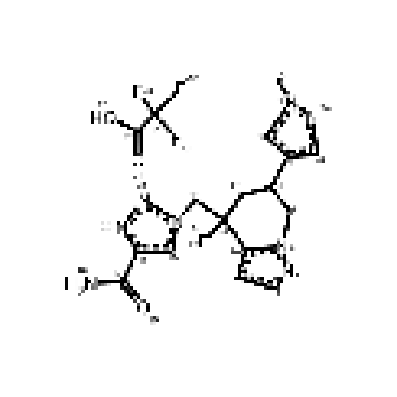 Cn1cc(C2Cn3nccc3C(F)(Cn3cc(C(N)=O)nn3)C2)cn1.O=C(O)C(F)(F)F